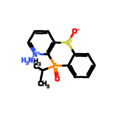 CC(C)P1(=O)c2ccccc2[S+]([O-])c2ccc[n+](N)c21